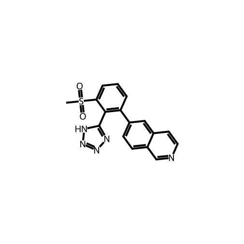 CS(=O)(=O)c1cccc(-c2ccc3cnccc3c2)c1-c1nnn[nH]1